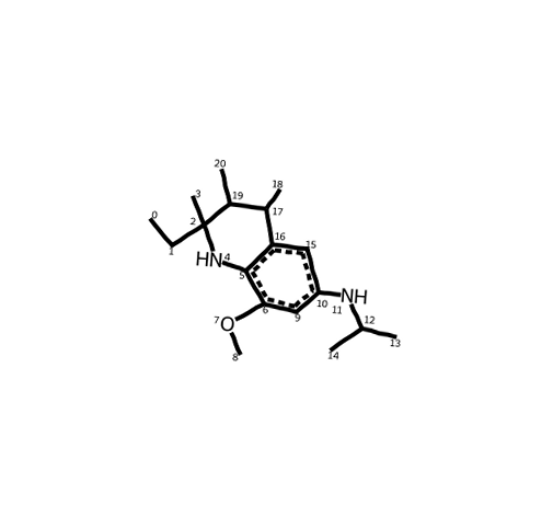 CCC1(C)Nc2c(OC)cc(NC(C)C)cc2C(C)C1C